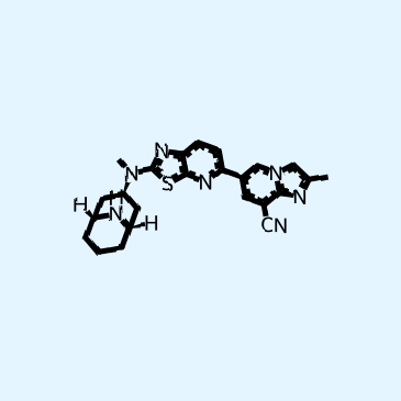 Cc1cn2cc(-c3ccc4nc(N(C)[C@@H]5C[C@H]6CCC[C@@H](C5)N6)sc4n3)cc(C#N)c2n1